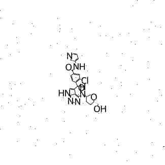 O=C(Nc1cccnc1)c1ccc(C(=O)c2c[nH]c3ncnc(N[C@@H]4CC[C@@H](CO)OC4)c23)c(Cl)c1